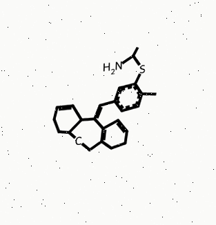 Cc1ccc(/C=C2\C3=C(CCC=C3)CCC3CCC=CC23)cc1SC(C)N